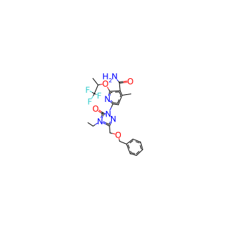 CCn1c(COCc2ccccc2)nn(-c2cc(C)c(C(N)=O)c(OC(C)C(F)(F)F)n2)c1=O